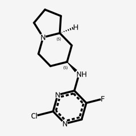 Fc1cnc(Cl)nc1N[C@H]1CCN2CCC[C@H]2C1